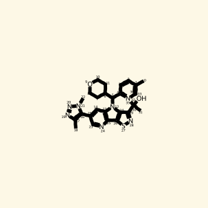 Cc1ccc(C(C2CCOCC2)n2c3cc(-c4c(C)nnn4C)cnc3c3snc(C(C)(C)O)c32)nc1